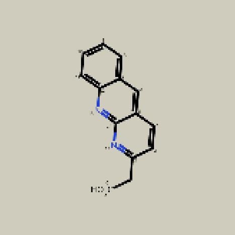 O=C(O)Cc1ccc2cc3ccccc3nc2n1